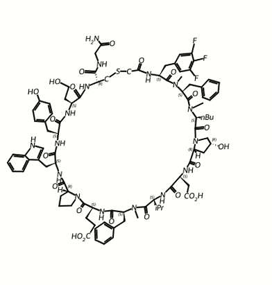 CCCC[C@H]1C(=O)N2C[C@H](O)C[C@@H]2C(=O)N[C@@H](CC(=O)O)C(=O)N[C@@H](C(C)C)C(=O)N(C)[C@@H](Cc2ccccc2)C(=O)N[C@@H](CCC(=O)O)C(=O)N2CCC[C@@H]2C(=O)N[C@@H](Cc2c[nH]c3ccccc23)C(=O)N[C@@H](Cc2ccc(O)cc2)C(=O)N[C@@H](CCO)C(=O)N[C@H](C(=O)NCC(N)=O)CSCC(=O)N[C@@H](Cc2cc(F)c(F)c(F)c2)C(=O)N(C)[C@@H](Cc2ccccc2)C(=O)N1C